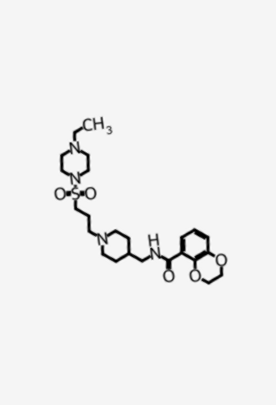 CCN1CCN(S(=O)(=O)CCCN2CCC(CNC(=O)c3cccc4c3OCCO4)CC2)CC1